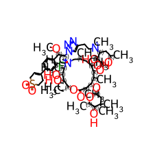 CC[C@H]1OC(=O)[C@H](C)[C@@H](O[C@H]2CC(C)(C)[C@@H](O)[C@H](C)O2)[C@H](C)[C@@H](O[C@@H]2O[C@H](C)C[C@H](N(C)CCc3cn([C@H](CF)[C@H](OC)c4ccc(C5=CCS(=O)(=O)CC5)cc4)nn3)[C@H]2O)[C@](C)(O)C[C@@H](C)CN(C)[C@H](C)[C@@H](O)[C@]1(C)O